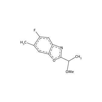 COC(C)c1nc2cc(F)c(C)cc2o1